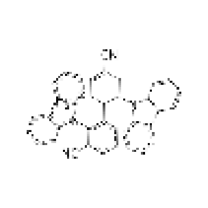 CC1C=C(C#N)C=C(N2c3ccccc3C3C=CC=CC32)C1c1cccc(C#N)c1-n1c2ccccc2c2ccccc21